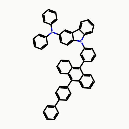 c1ccc(-c2ccc(-c3c4ccccc4c(-c4cccc(-n5c6ccccc6c6cc(N(c7ccccc7)c7ccccc7)ccc65)c4)c4ccccc34)cc2)cc1